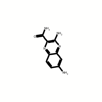 NC(=O)c1nc2ccc(N)cc2nc1N